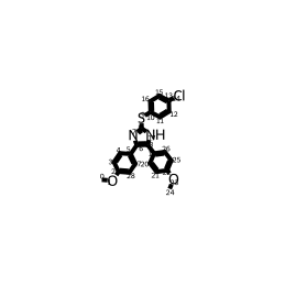 COc1ccc(-c2nc(Sc3ccc(Cl)cc3)[nH]c2-c2ccc(OC)cc2)cc1